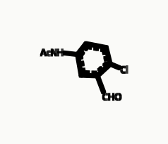 CC(=O)Nc1ccc(Cl)c(C=O)c1